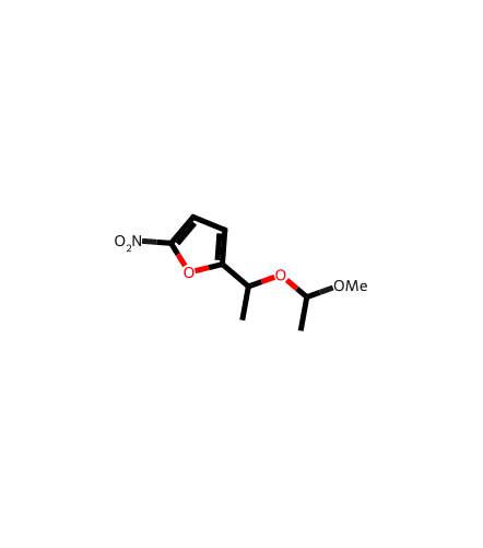 COC(C)OC(C)c1ccc([N+](=O)[O-])o1